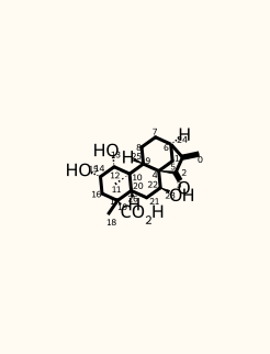 C=C1C(=O)[C@]23C[C@H]1CC[C@H]2[C@]1(C)[C@@H](O)[C@@H](O)C[C@@](C)(C(=O)O)[C@H]1C[C@@H]3O